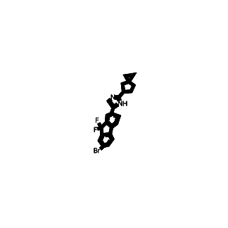 FC1(F)c2cc(Br)ccc2-c2ccc(-c3cnc(C4CCC5(CC5)C4)[nH]3)cc21